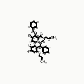 C=CCOc1cc(F)c(F)cc1C(c1ccccc1)N1CN(CC=C)C(=O)c2c(OCc3ccccc3)c(=O)ccn21